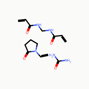 C=CC(=O)NCNC(=O)C=C.C=CN1CCCC1=O.NC(N)=O